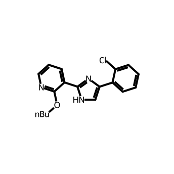 CCCCOc1ncccc1-c1nc(-c2ccccc2Cl)c[nH]1